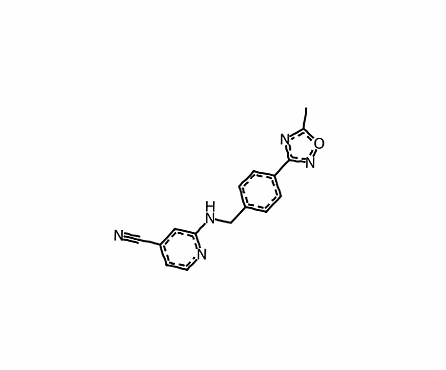 Cc1nc(-c2ccc(CNc3cc(C#N)ccn3)cc2)no1